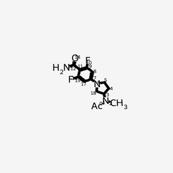 CC(=O)N(C)C1CCN(c2cc(F)c(C(N)=O)c(F)c2)C1